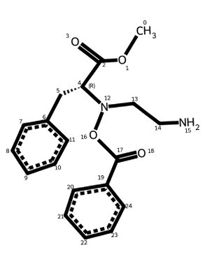 COC(=O)[C@@H](Cc1ccccc1)N(CCN)OC(=O)c1ccccc1